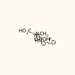 CC1=NN(CCCC(=O)O)C(=O)/C1=N\Nc1cccc(/C=C/c2ccccc2F)c1O